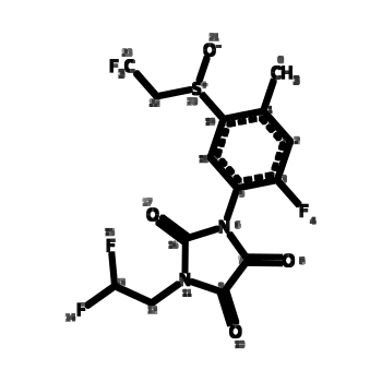 Cc1cc(F)c(N2C(=O)C(=O)N(CC(F)F)C2=O)cc1[S+]([O-])CC(F)(F)F